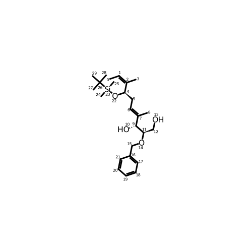 C/C=C(/C)[C@@H](C/C=C(\C)[C@@H](O)[C@@H](CO)OCc1ccccc1)O[Si](C)(C)C(C)(C)C